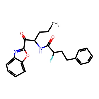 CCCC(NC(=O)C(F)CCc1ccccc1)C(=O)c1nc2ccccc2o1